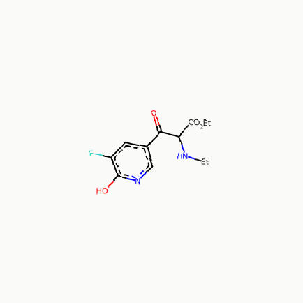 CCNC(C(=O)OCC)C(=O)c1cnc(O)c(F)c1